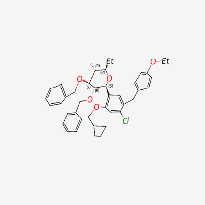 CCOc1ccc(Cc2cc([C@@H]3O[C@H](CC)[C@@H](C)[C@H](OCc4ccccc4)[C@H]3OCc3ccccc3)c(OCC3CCC3)cc2Cl)cc1